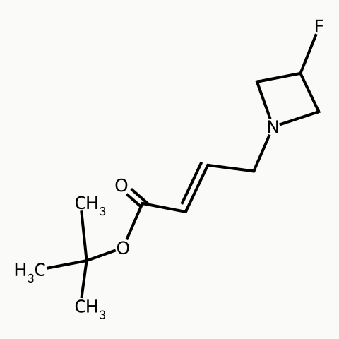 CC(C)(C)OC(=O)C=CCN1CC(F)C1